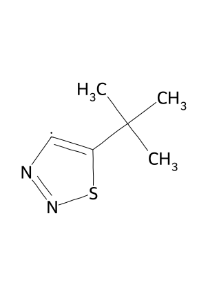 CC(C)(C)c1[c]nns1